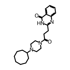 O=C(CCc1nc2ccccc2c(=O)[nH]1)N1CCN(C2CCCCCCC2)CC1